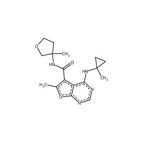 Cc1oc2ncnc(NC3(C)CC3)c2c1C(=O)NC1(C)CCOC1